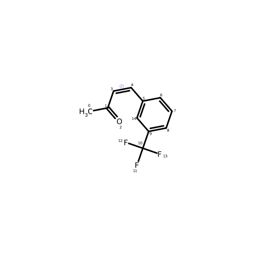 CC(=O)/C=C\c1cccc(C(F)(F)F)c1